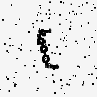 CCCCCCCC1CCC(c2ccc(-c3ncc(OC(=O)CCCCC)cn3)cc2)CC1